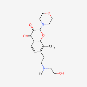 CCN(CCO)CCc1ccc2c(c1C)OC(N1CCOCC1)C(=O)C2=O